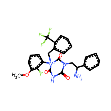 COc1cccc([N+]2(Cc3ccccc3C(F)(F)F)C(=O)NC(=O)N(CC(N)c3ccccc3)C2=O)c1F